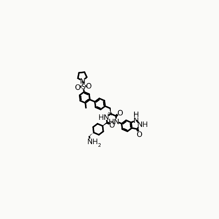 Cc1ccc(S(=O)(=O)N2CCCC2)cc1-c1ccc(C[C@H](NC(=O)[C@H]2CC[C@H](CN)CC2)C(=O)Nc2ccc3c(=O)[nH][nH]c3c2)cc1